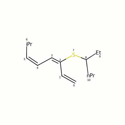 C=C/C(=C\C=C/C(C)C)SC(CC)CCC